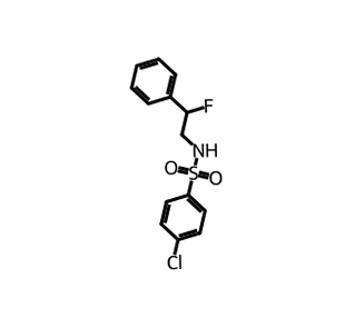 O=S(=O)(NCC(F)c1ccccc1)c1ccc(Cl)cc1